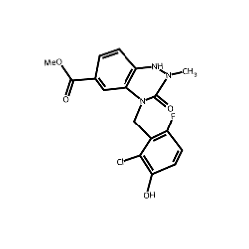 COC(=O)c1ccc2c(c1)N(Cc1c(F)ccc(O)c1Cl)C(=O)N(C)N2